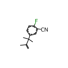 C=C(C)C(C)(C)c1ccc(F)c(C#N)c1